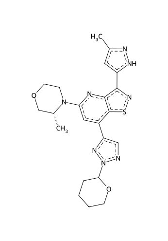 Cc1cc(-c2nsc3c(-c4cnn(C5CCCCO5)n4)cc(N4CCOC[C@H]4C)nc23)[nH]n1